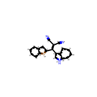 N#CC(C#N)=C(c1cc2ccccc2s1)c1c[nH]c2ccccc12